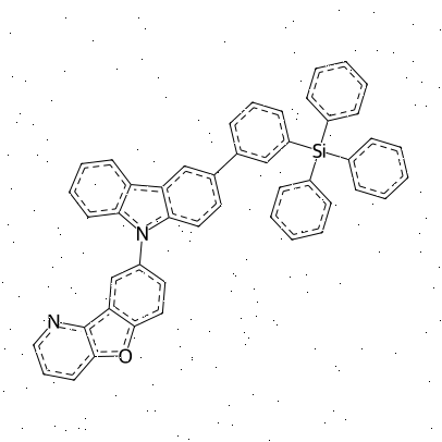 c1ccc([Si](c2ccccc2)(c2ccccc2)c2cccc(-c3ccc4c(c3)c3ccccc3n4-c3ccc4oc5cccnc5c4c3)c2)cc1